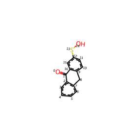 O=C1c2ccccc2Cc2ccc(SO)cc21